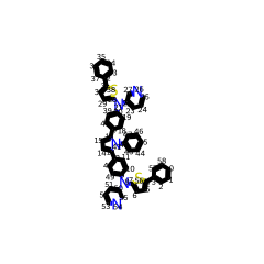 c1ccc(-c2ccc(N(c3ccc(-c4ccc(-c5ccc(N(c6cccnc6)c6ccc(-c7ccccc7)s6)cc5)n4-c4ccccc4)cc3)c3cccnc3)s2)cc1